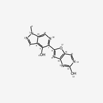 Cn1ncc2c(O)c(-c3nc4nc(O)ncc4o3)ncc21